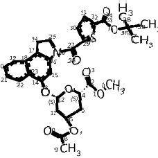 COC(=O)[C@@H]1CC(OC(C)=O)C[C@H](Oc2cc3c(c4ccccc24)CCN3C(=O)c2ccc(C(=O)OC(C)(C)C)s2)O1